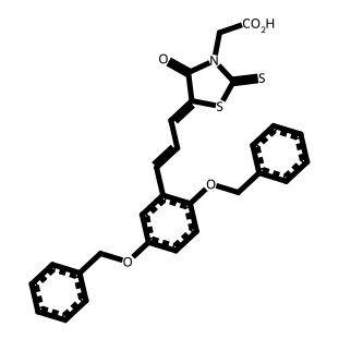 O=C(O)CN1C(=O)C(=CC=Cc2cc(OCc3ccccc3)ccc2OCc2ccccc2)SC1=S